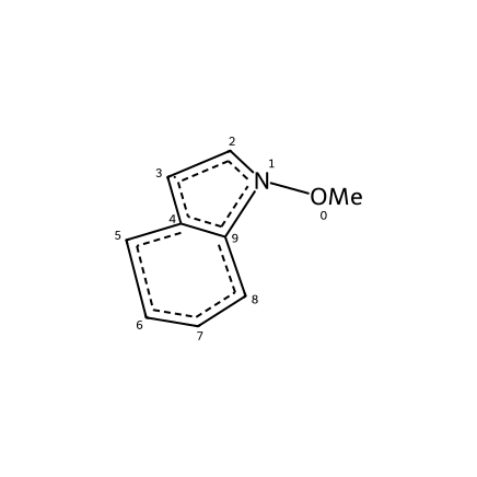 COn1c[c]c2ccccc21